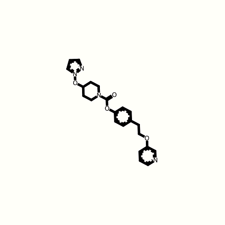 O=C(Oc1ccc(CCOc2cccnc2)cc1)N1CCC(On2cccn2)CC1